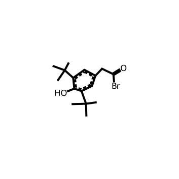 CC(C)(C)c1cc(CC(=O)Br)cc(C(C)(C)C)c1O